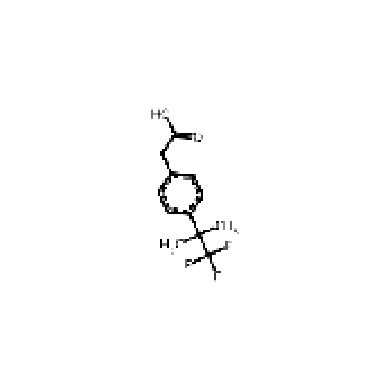 CC(C)(c1ccc(CC(=O)O)cc1)C(F)(F)F